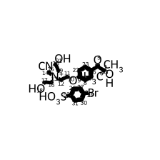 CC(C)(O)C(=O)c1ccc(OCC[N+](CC#N)(CCO)CCO)cc1.O=S(=O)(O)c1ccc(Br)cc1